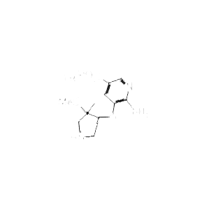 COC1(C)CNCC1Oc1cc(C(=O)O)cnc1N.Cl